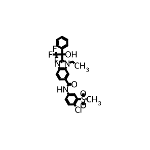 CCn1c(C(O)(c2ccccc2)C(F)(F)F)nc2ccc(C(=O)Nc3ccc(Cl)c(S(C)(=O)=O)c3)cc21